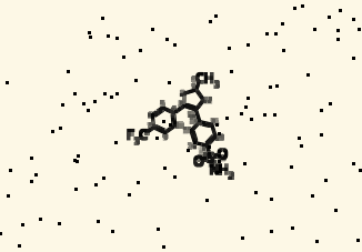 CC1CC(c2ccc(C(F)(F)F)cc2)=C(c2ccc(S(N)(=O)=O)cc2)C1